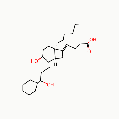 CCCCCC[C@@]12CC[C@H](O)[C@@H](CCC(O)C3CCCCC3)[C@@H]1CC2=CCCC(=O)O